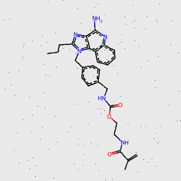 C=C(C)C(=O)NCCOC(=O)NCc1ccc(Cn2c(CCC)nc3c(N)nc4ccccc4c32)cc1